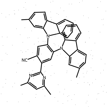 Cc1ccc2c3ccccc3n(-c3cc(C#N)c(-c4nc(C)cc(C)n4)cc3-n3c4ccccc4c4ccc(C)cc43)c2c1